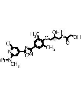 Cc1cc(-c2noc(-c3cc(Cl)nc(N(C)C(C)C)c3)n2)cc(C)c1OC[C@@H](O)CNC(=O)CO